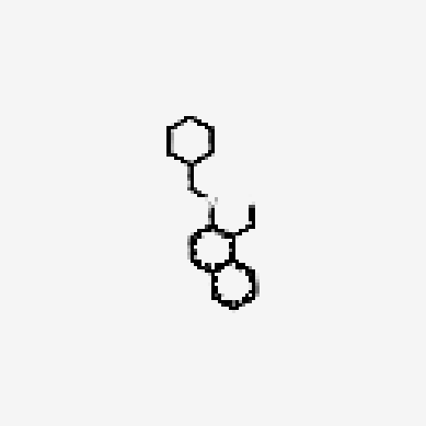 O=Cc1c(OCC2CCCCC2)ccc2ccccc12